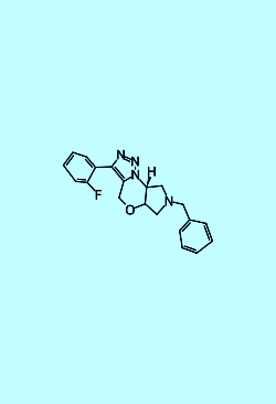 Fc1ccccc1-c1nnn2c1COC1CN(Cc3ccccc3)C[C@H]12